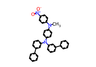 CN(c1ccc(N(c2cccc(-c3ccccc3)c2)c2cccc(-c3ccccc3)c2)cc1)c1ccc([N+](=O)[O-])cc1